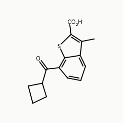 Cc1c(C(=O)O)sc2c(C(=O)C3CCC3)cccc12